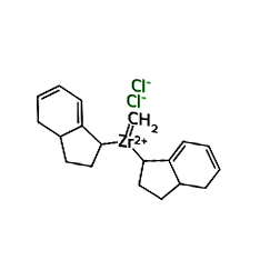 [CH2]=[Zr+2]([CH]1CCC2CC=CC=C21)[CH]1CCC2CC=CC=C21.[Cl-].[Cl-]